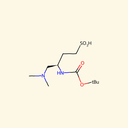 CN(C)C[C@@H](CCS(=O)(=O)O)NC(=O)OC(C)(C)C